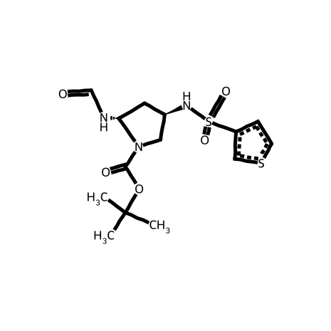 CC(C)(C)OC(=O)N1C[C@H](NS(=O)(=O)c2ccsc2)C[C@H]1NC=O